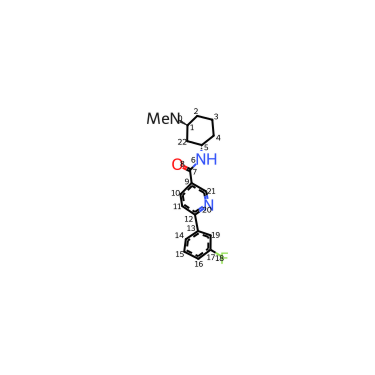 CN[C@H]1CCC[C@H](NC(=O)c2ccc(-c3cccc(F)c3)nc2)C1